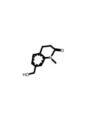 CN1C(=O)CCc2ccc(CO)cc21